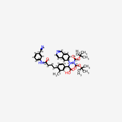 Cc1cc(C(C(=O)O)N(c2ccc3cnccc3c2)N(C(=O)OC(C)(C)C)C(=O)OC(C)(C)C)ccc1CCCC(=O)Nc1cccc(C#N)c1